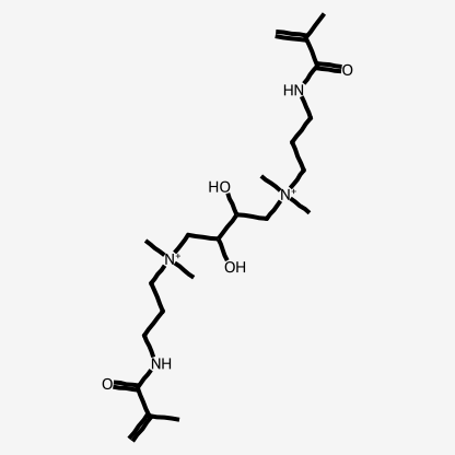 C=C(C)C(=O)NCCC[N+](C)(C)CC(O)C(O)C[N+](C)(C)CCCNC(=O)C(=C)C